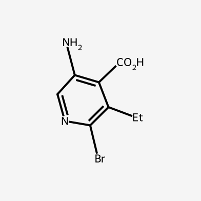 CCc1c(Br)ncc(N)c1C(=O)O